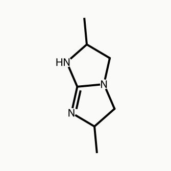 CC1CN2CC(C)NC2=N1